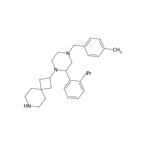 Cc1ccc(CN2CCN(C3CC4(CCNCC4)C3)C(c3ccccc3C(C)C)C2)cc1